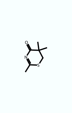 CC1=NC(=O)C(C)(C)CS1